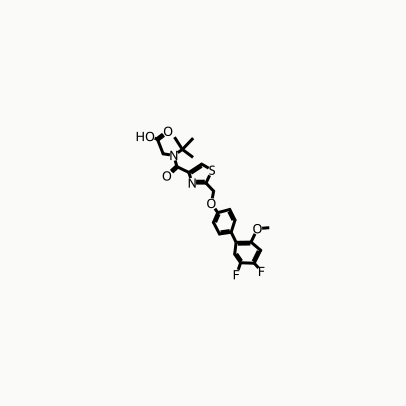 COc1cc(F)c(F)cc1-c1ccc(OCc2nc(C(=O)N(CC(=O)O)C(C)(C)C)cs2)cc1